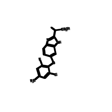 CCOC(=O)C(C)c1nc2ccc(Oc3c(F)cc(C(F)(F)F)cc3Cl)cc2[nH]1